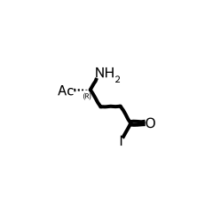 CC(=O)[C@H](N)CCC(=O)I